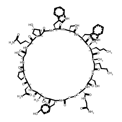 CCCC[C@H]1C(=O)N(C)[C@@H](CCCC)C(=O)N[C@@H](CO)C(=O)N[C@H](C(=O)NCC(N)=O)CSCC(=O)N[C@@H](Cc2ccc(O)cc2)C(=O)N(C)[C@@H](C)C(=O)N[C@@H](CC(N)=O)C(=O)N2CCC[C@H]2C(=O)N[C@@H](CO)C(=O)N[C@@H](CCC(N)=O)C(=O)N2C[C@H](O)C[C@H]2C(=O)N[C@@H](Cc2c[nH]c3ccccc23)C(=O)N[C@@H](CO)C(=O)N[C@@H](Cc2c[nH]c3ccccc23)C(=O)N1C